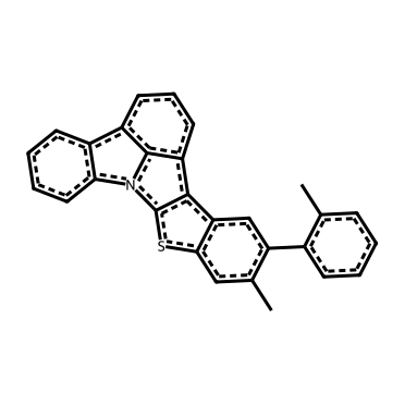 Cc1ccccc1-c1cc2c(cc1C)sc1c2c2cccc3c4ccccc4n1c32